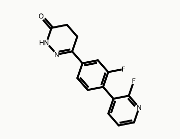 O=C1CCC(c2ccc(-c3cccnc3F)c(F)c2)=NN1